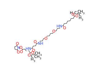 CC(C)(C)OC(=O)CCCCCCC(=O)NCCCOCCCCOCCCNC(=O)CCC(=O)N[C@@H](CCC(=O)ON1C(=O)CCC1=O)C(=O)OC(C)(C)C